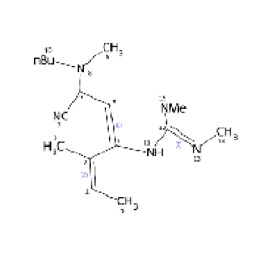 C/C=C(C)\C(=C/C(C#N)N(C)CCCC)N/C(=N/C)NC